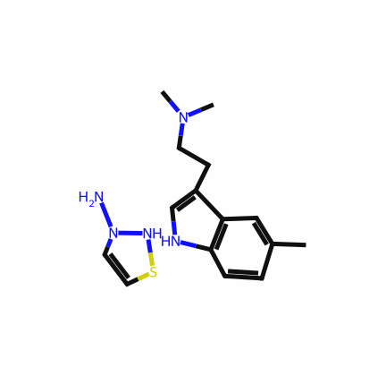 Cc1ccc2[nH]cc(CCN(C)C)c2c1.NN1C=CSN1